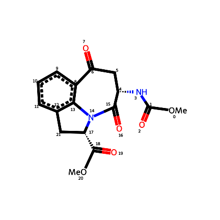 COC(=O)N[C@H]1CC(=O)c2cccc3c2N(C1=O)[C@H](C(=O)OC)C3